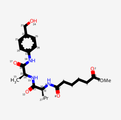 COC(=O)CCCCC(=O)N[C@H](C(=O)N[C@@H](C)C(=O)Nc1ccc(CO)cc1)C(C)C